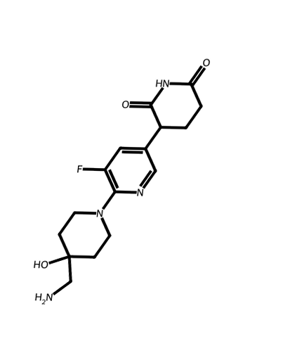 NCC1(O)CCN(c2ncc(C3CCC(=O)NC3=O)cc2F)CC1